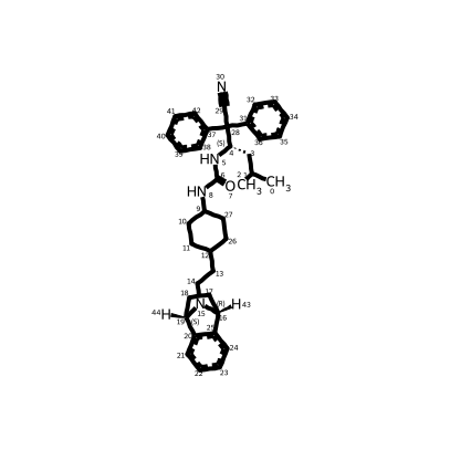 CC(C)C[C@H](NC(=O)NC1CCC(CCN2[C@@H]3CC[C@H]2c2ccccc23)CC1)C(C#N)(c1ccccc1)c1ccccc1